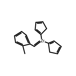 Cc1ccccc1[CH]=[Zr]([C]1=CC=CC1)[C]1=CC=CC1